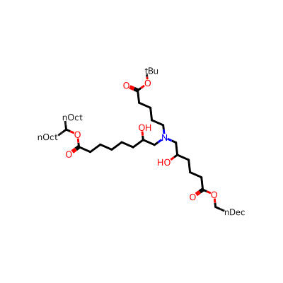 CCCCCCCCCCCOC(=O)CCCC(O)CN(CCCCC(=O)OC(C)(C)C)CC(O)CCCCCC(=O)OC(CCCCCCCC)CCCCCCCC